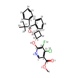 COC(=O)c1cnc(O[C@H]2CC[C@H]2O[Si](c2ccccc2)(c2ccccc2)C(C)(C)C)c(F)c1Cl